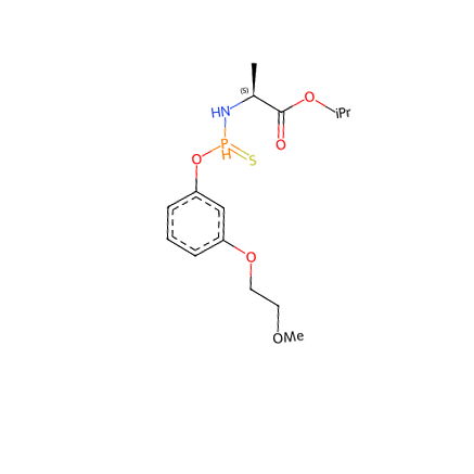 COCCOc1cccc(O[PH](=S)N[C@@H](C)C(=O)OC(C)C)c1